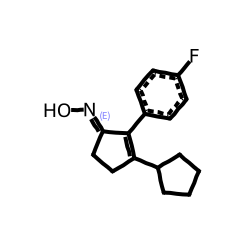 O/N=C1\CCC(C2CCCC2)=C1c1ccc(F)cc1